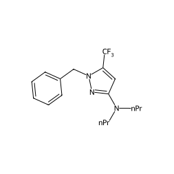 CCCN(CCC)c1cc(C(F)(F)F)n(Cc2ccccc2)n1